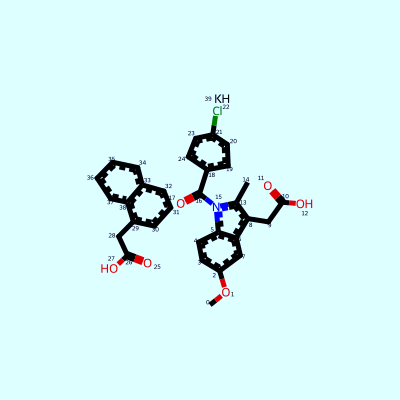 COc1ccc2c(c1)c(CC(=O)O)c(C)n2C(=O)c1ccc(Cl)cc1.O=C(O)Cc1cccc2ccccc12.[KH]